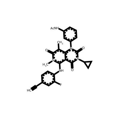 C#Cc1ccc(Nc2c3c(=O)n(C4CC4)c(=O)n(-c4cccc(NC(C)=O)c4)c3c(C)c(=O)n2C)c(F)c1